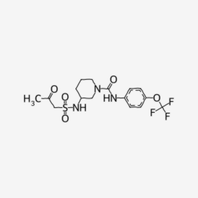 CC(=O)CS(=O)(=O)NC1CCCN(C(=O)Nc2ccc(OC(F)(F)F)cc2)C1